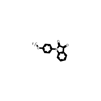 O=C1C(=O)N(c2ccc(OC(F)(F)F)cc2)c2ccccc21